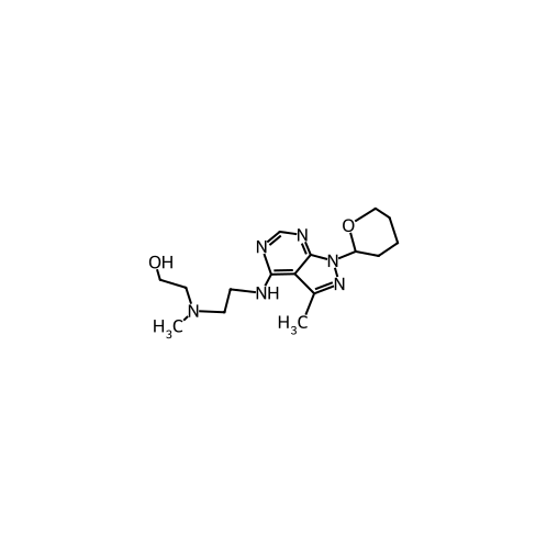 Cc1nn(C2CCCCO2)c2ncnc(NCCN(C)CCO)c12